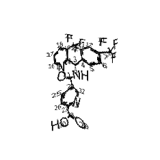 O=C(N[C@@H](c1ccc(C(F)(F)F)cc1)c1ncccc1C(F)(F)F)c1ccc(C(=O)O)nc1